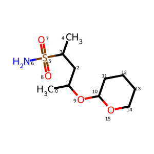 CC(CC(C)S(N)(=O)=O)OC1CCCCO1